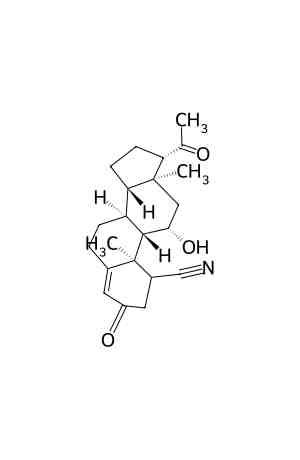 CC(=O)[C@H]1CC[C@H]2[C@@H]3CCC4=CC(=O)CC(C#N)[C@]4(C)[C@H]3[C@@H](O)C[C@]12C